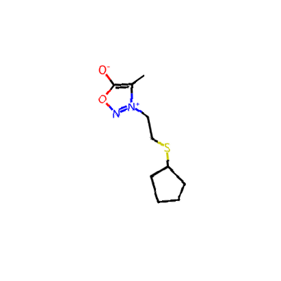 Cc1c([O-])on[n+]1CCSC1CCCC1